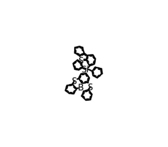 c1ccc([Si](c2ccccc2)(c2cc3c4c(c2)Sc2ccccc2B4c2ccccc2S3)c2cccc3c2sc2ccccc23)cc1